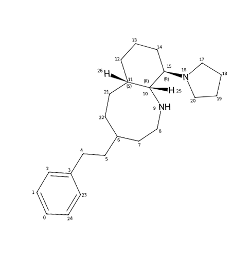 c1ccc(CCC2CCN[C@@H]3[C@@H](CCC[C@H]3N3CCCC3)CC2)cc1